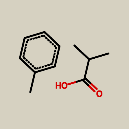 CC(C)C(=O)O.Cc1ccccc1